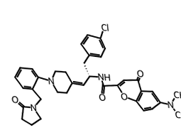 CN(C)c1ccc2oc(C(=O)N[C@H](C=C3CCN(c4ccccc4CN4CCCC4=O)CC3)Cc3ccc(Cl)cc3)cc(=O)c2c1